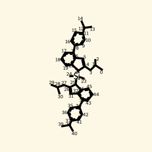 CC(C)CC1=Cc2c(-c3ccc(C(C)C)cc3)cccc2C1[Si](C)(C)C1C(CC(C)C)=Cc2c(-c3ccc(C(C)C)cc3)cccc21